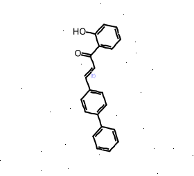 O=C(/C=C/c1ccc(-c2ccccc2)cc1)c1ccccc1O